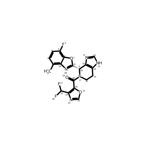 Cc1ccc(F)c2oc([C@@H]3c4nc[nH]c4CCN3C(=O)c3ocnc3C(F)F)nc12